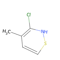 CC1=C(Cl)NSC=C1